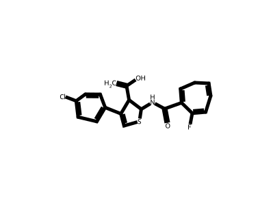 C=C(O)C1C(c2ccc(Cl)cc2)=CSC1NC(=O)C1=CCC=CC=C1F